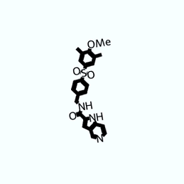 COc1c(C)cc(S(=O)(=O)c2ccc(CNC(=O)c3cc4cnccc4[nH]3)cc2)cc1C